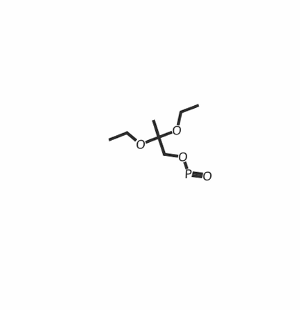 CCOC(C)(COP=O)OCC